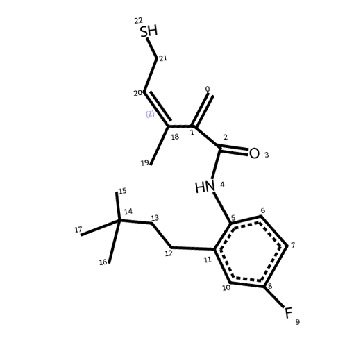 C=C(C(=O)Nc1ccc(F)cc1CCC(C)(C)C)/C(C)=C\CS